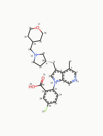 Cc1cncc2c1c(C[C@@H]1CCN(CC3CCOCC3)C1)cn2-c1ccc(F)cc1C(=O)O